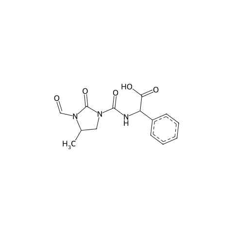 CC1CN(C(=O)NC(C(=O)O)c2ccccc2)C(=O)N1C=O